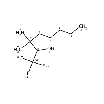 CCCCCC(C)(N)C(O)C(F)(F)F